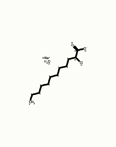 CCCCCCCCCCC(Cl)C(=O)[O-].O.[Na+]